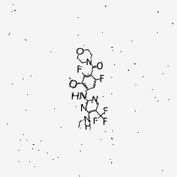 CCNc1nc(Nc2cc(F)c(C(=O)N3CCOCC3)c(F)c2OC)ncc1C(F)(F)F